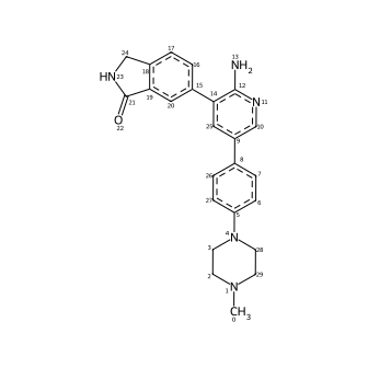 CN1CCN(c2ccc(-c3cnc(N)c(-c4ccc5c(c4)C(=O)NC5)c3)cc2)CC1